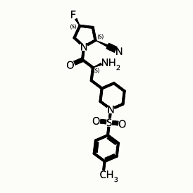 Cc1ccc(S(=O)(=O)N2CCCC(C[C@H](N)C(=O)N3C[C@@H](F)C[C@H]3C#N)C2)cc1